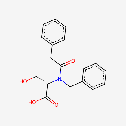 O=C(O)[C@H](CO)N(Cc1ccccc1)C(=O)Cc1ccccc1